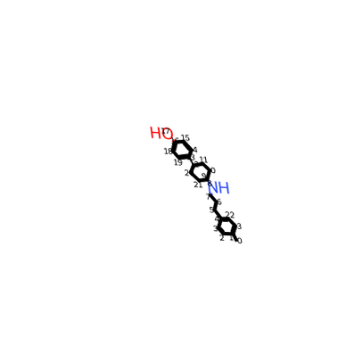 Cc1ccc(CCCN[C@H]2CC[C@H](c3ccc(O)cc3)CC2)cc1